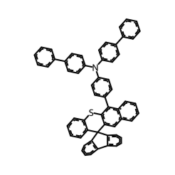 c1ccc(-c2ccc(N(c3ccc(-c4ccccc4)cc3)c3ccc(-c4c5c(cc6ccccc46)C4(c6ccccc6S5)c5ccccc5-c5ccccc54)cc3)cc2)cc1